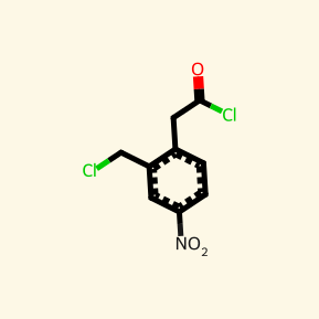 O=C(Cl)Cc1ccc([N+](=O)[O-])cc1CCl